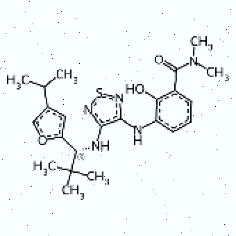 CC(C)c1coc([C@H](Nc2nsnc2Nc2cccc(C(=O)N(C)C)c2O)C(C)(C)C)c1